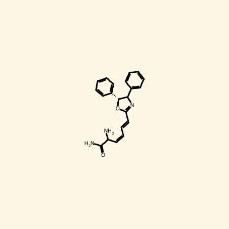 NC(=O)C(N)/C=C\C=C\C1=NC(c2ccccc2)[C@@H](c2ccccc2)O1